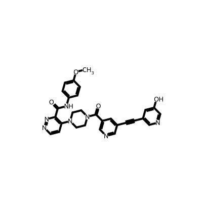 COc1ccc(NC(=O)c2nnccc2N2CCN(C(=O)c3cncc(C#Cc4cncc(O)c4)c3)CC2)cc1